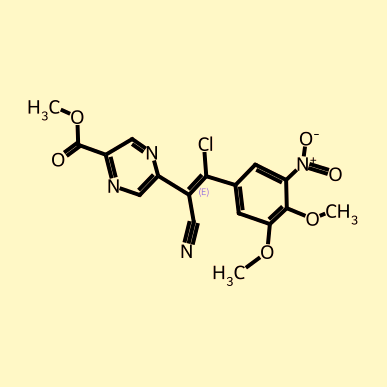 COC(=O)c1cnc(/C(C#N)=C(\Cl)c2cc(OC)c(OC)c([N+](=O)[O-])c2)cn1